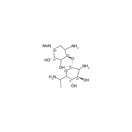 CN[C@@H]1CC(N)[C@@H](O[C@H]2OC(C(C)N)[C@@H](O)[C@H](O)C2N)C(O)[C@@H]1O